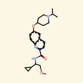 COCC(NC(=O)c1ccc2cc(OC3CCN(C(C)C)CC3)ccc2n1)C1CC1